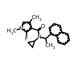 Cc1cn(C)c(F)c1C(=O)N(C1CC1)C(C)c1cccc2ccccc12